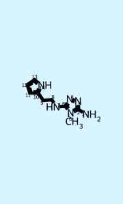 Cn1c(N)nnc1NCCc1ccc[nH]1